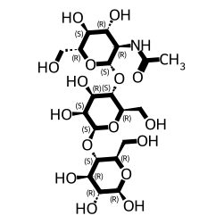 CC(=O)N[C@H]1[C@H](O[C@H]2[C@H](O)[C@H](O)[C@H](O[C@H]3[C@H](O)[C@@H](O)[C@H](O)O[C@@H]3CO)O[C@@H]2CO)O[C@H](CO)[C@@H](O)[C@@H]1O